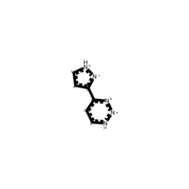 c1cc(-c2cc[nH]n2)nnn1